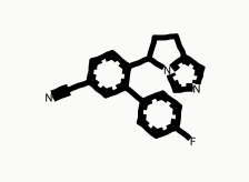 N#Cc1ccc(C2CCc3cncn32)c(-c2ccc(F)cc2)c1